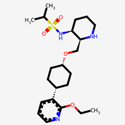 CCOc1ncccc1[C@H]1CC[C@@H](OC[C@@H]2NCCC[C@@H]2NS(=O)(=O)C(C)C)CC1